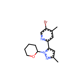 Cc1cc(-c2cc(C)c(Br)cn2)n(C2CCCCO2)n1